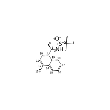 C[C@@H](N[S+]([O-])C(C)(C)C)c1ccc(F)c2ccccc12